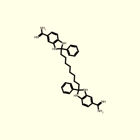 N=C(N)c1ccc2c(c1)NC(CCCCCCCCC1(c3ccccc3)Nc3ccc(C(=N)N)cc3N1)(c1ccccc1)N2